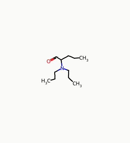 CCCC([C]=O)N(CCC)CCC